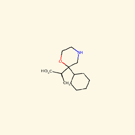 CC(C(=O)O)C1(C2CCCCC2)CNCCO1